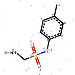 CCCCCCCCS(=O)(=O)Nc1ccc(C)cc1